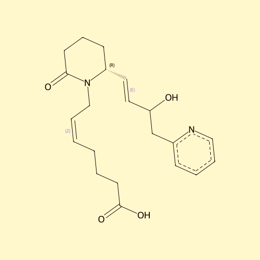 O=C(O)CCC/C=C\CN1C(=O)CCC[C@@H]1/C=C/C(O)Cc1ccccn1